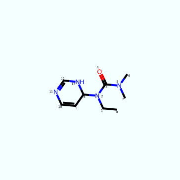 CCN(C(=O)N(C)C)C1C=CN=CN1